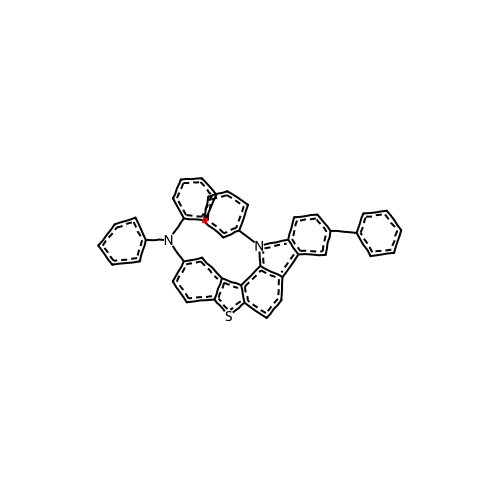 c1ccc(-c2ccc3c(c2)c2ccc4sc5ccc(N(c6ccccc6)c6ccccc6)cc5c4c2n3-c2ccccc2)cc1